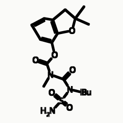 CCC(C)N(C(=O)N(C)C(=O)Oc1cccc2c1OC(C)(C)C2)S(N)(=O)=O